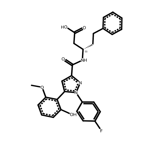 COc1cccc(O)c1-c1cc(C(=O)N[C@@H](CCc2ccccc2)CC(=O)O)nn1C1=C=C=C(F)C=C1